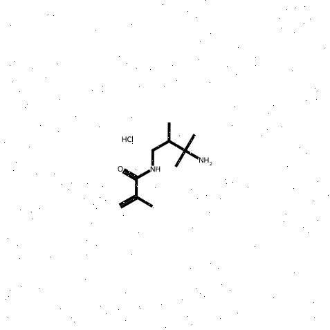 C=C(C)C(=O)NCC(C)C(C)(C)N.Cl